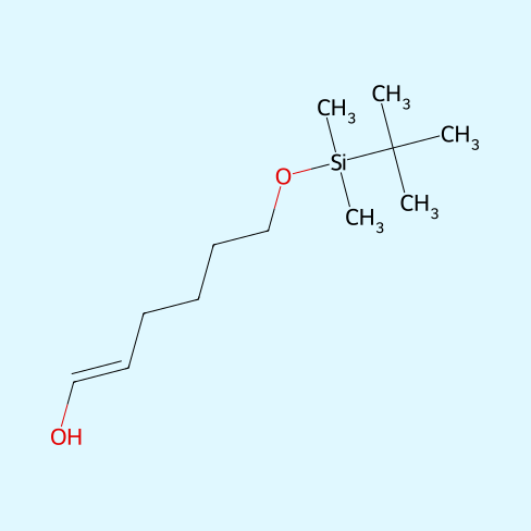 CC(C)(C)[Si](C)(C)OCCCCC=CO